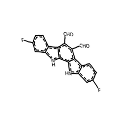 O=Cc1c(C=O)c2c3ccc(F)cc3[nH]c2c2[nH]c3cc(F)ccc3c12